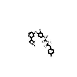 Cn1cc(-c2cc(Oc3ccc(N(F)C(=O)NC(=O)Cc4ccc(F)cc4)cc3F)ccn2)cn1